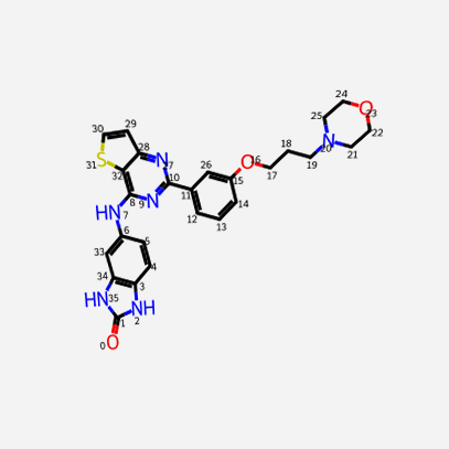 O=c1[nH]c2ccc(Nc3nc(-c4cccc(OCCCN5CCOCC5)c4)nc4ccsc34)cc2[nH]1